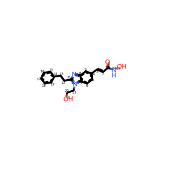 O=C(/C=C/c1ccc2c(c1)nc(CCc1ccccc1)n2CCO)NO